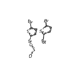 Brc1ccc(Br)s1.Brc1ccc(Br)s1.O=S=O